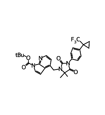 CC(C)(C)OC(=O)n1ccc2c(CN3C(=O)N(c4ccc(C5(C(F)(F)F)CC5)cc4)C(=O)C3(C)C)ccnc21